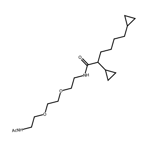 CC(=O)NCCOCCOCCNC(=O)C(CCCCC1CC1)C1CC1